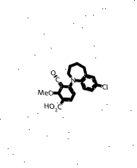 COC1C(=C=O)C(N2CCCCc3cc(Cl)ccc32)=CC=C1C(=O)O